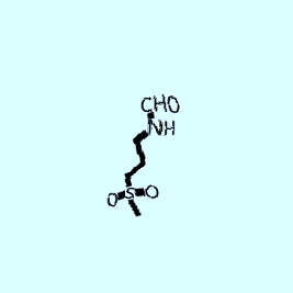 CS(=O)(=O)CCCNC=O